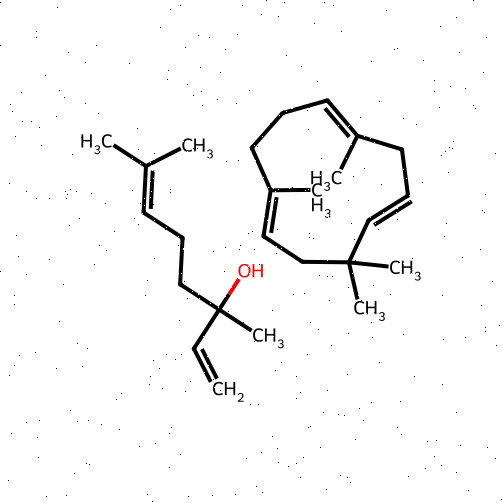 C/C1=C\CC/C(C)=C/CC(C)(C)/C=C/C1.C=CC(C)(O)CCC=C(C)C